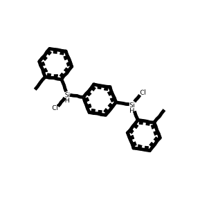 Cc1ccccc1[SiH](Cl)c1ccc([SiH](Cl)c2ccccc2C)cc1